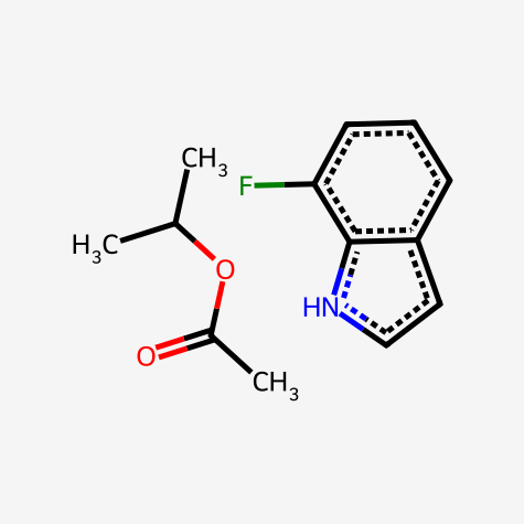 CC(=O)OC(C)C.Fc1cccc2cc[nH]c12